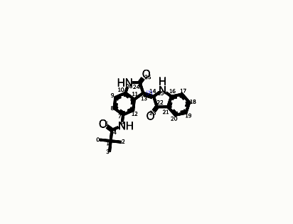 CC(C)(C)C(=O)Nc1ccc2c(c1)/C(=C1/Nc3ccccc3C1=O)C(=O)N2